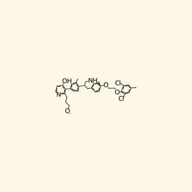 COCCCc1nccc(O)c1-c1ccc(C(CN)Cc2ccc(OCCOc3c(Cl)cc(C)cc3Cl)cc2)c(C)c1